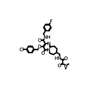 CN(C)C(=O)C(=O)NCC1CCc2nc(C(=O)NCc3ccc(F)cc3)c(OCc3ccc(Cl)cc3)c(=O)n2CC1